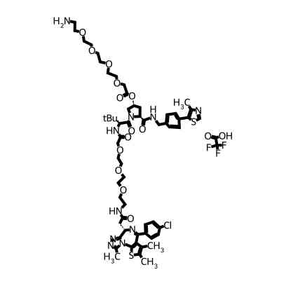 Cc1ncsc1-c1ccc(CNC(=O)[C@@H]2C[C@@H](OC(=O)COCCOCCOCCOCCN)CN2C(=O)[C@@H](NC(=O)COCCOCCOCCNC(=O)C[C@@H]2N=C(c3ccc(Cl)cc3)c3c(sc(C)c3C)-n3c(C)nnc32)C(C)(C)C)cc1.O=C(O)C(F)(F)F